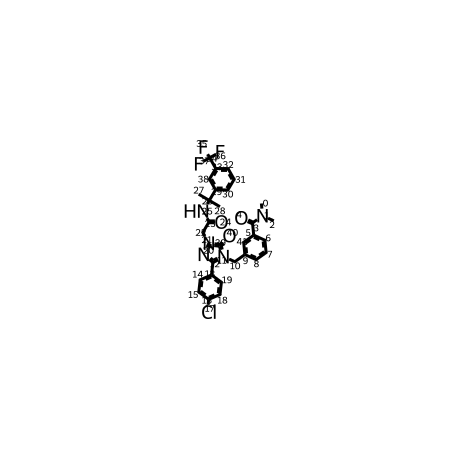 CN(C)C(=O)c1cccc(Cn2c(-c3ccc(Cl)cc3)nn(CC(=O)NC(C)(C)c3cccc(C(F)(F)F)c3)c2=O)c1